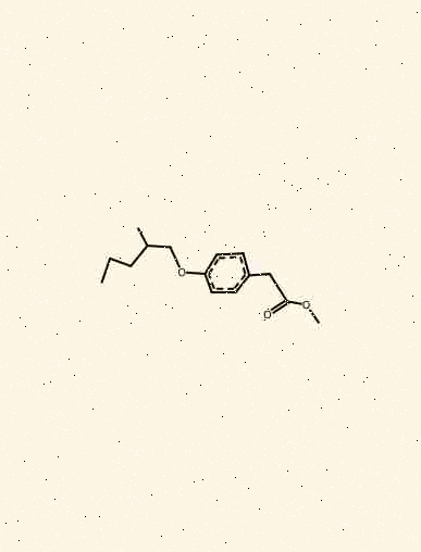 CCCC(C)COc1ccc(CC(=O)OC)cc1